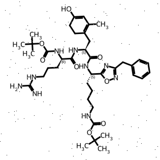 CC1=C(C[C@H](NC(=O)[C@@H](CCCNC(=N)N)NC(=O)OC(C)(C)C)C(=O)N[C@@H](CCCCNC(=O)OC(C)(C)C)c2nc(Cc3ccccc3)no2)CCC(O)=C1